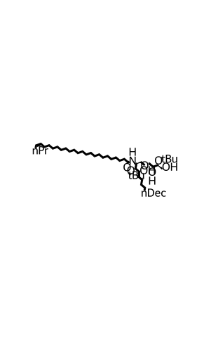 CCC/C=C\CCCCCCCCCCCCCCCCCCCCC(=O)N[C@@H](COC[C@H](O)[C@H](CO)OC(C)(C)C)[C@H](OC(C)(C)C)[C@H](O)CCCCCCCCCCCCCC